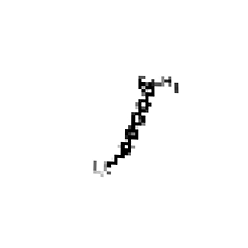 CCCCCC1CCC(c2ccc(C3CCC(C4CCC(c5ccc(CC)c(F)c5)CC4)CC3)cc2)CC1